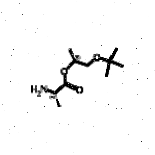 C[C@H](N)C(=O)O[C@@H](C)COC(C)(C)C